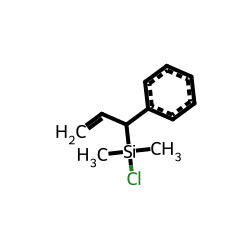 C=CC(c1ccccc1)[Si](C)(C)Cl